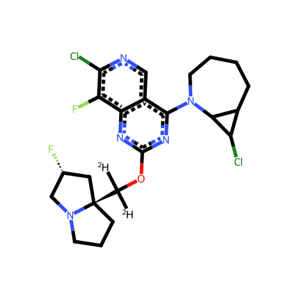 [2H]C([2H])(Oc1nc(N2CCCCC3C(Cl)C32)c2cnc(Cl)c(F)c2n1)[C@@]12CCCN1C[C@H](F)C2